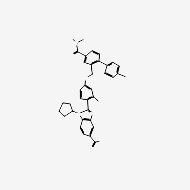 CN(C)C(=O)c1ccc(-c2ccc(Cl)cc2)c(COc2ccc(-c3nc4cc(C(=O)O)ccc4n3C3CCCC3)c(F)c2)c1.Cl